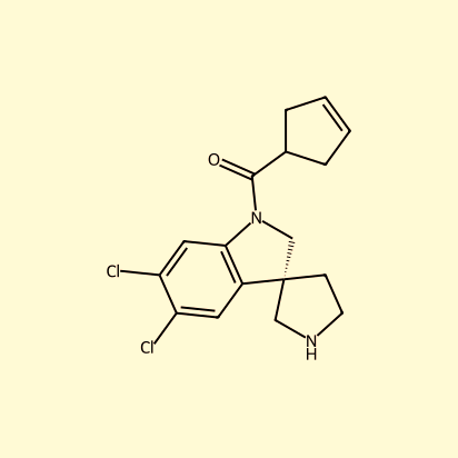 O=C(C1CC=CC1)N1C[C@@]2(CCNC2)c2cc(Cl)c(Cl)cc21